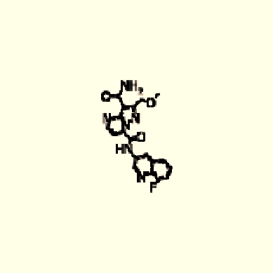 COCc1nn2c(C(=O)Nc3cnc4c(F)cccc4c3)ccnc2c1C(N)=O